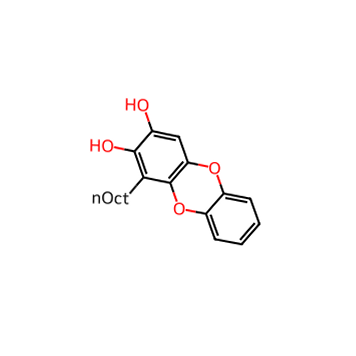 CCCCCCCCc1c(O)c(O)cc2c1Oc1ccccc1O2